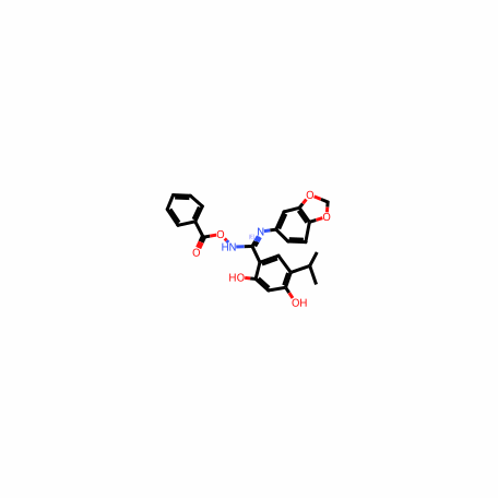 CC(C)c1cc(/C(=N\c2ccc3c(c2)OCO3)NOC(=O)c2ccccc2)c(O)cc1O